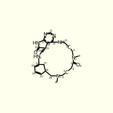 CN1CCCC(=O)N(C)CCCNc2ncnc3c2/C(=C/NC2=CC=CC(C2)C1)C(=O)N3